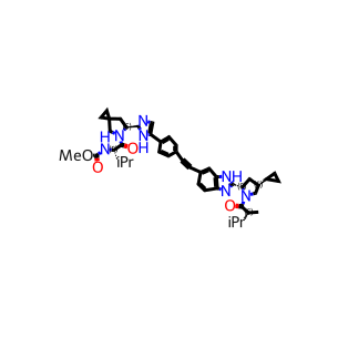 COC(=O)N[C@H](C(=O)N1CC2(CC2)C[C@H]1c1ncc(-c2ccc(C#Cc3ccc4nc([C@@H]5C[C@@H](C6CC6)CN5C(=O)[C@@H](C)C(C)C)[nH]c4c3)cc2)[nH]1)C(C)C